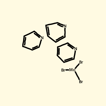 [Br][Mo]([Br])[Br].c1ccncc1.c1ccncc1.c1ccncc1